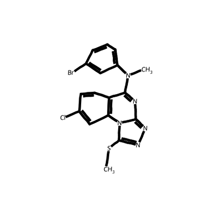 CSc1nnc2nc(N(C)c3cccc(Br)c3)c3ccc(Cl)cc3n12